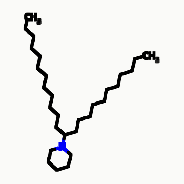 CCCCCCCCCCCCC(CCCCCCCCCCC)N1CCCCC1